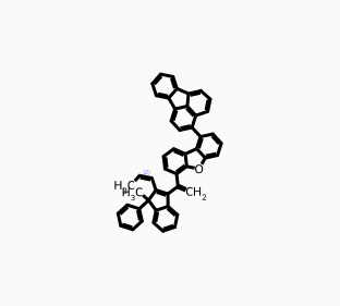 C=C(C1=C(/C=C\C)C(C)(c2ccccc2)c2ccccc21)c1cccc2c1oc1cccc(-c3ccc4c5c(cccc35)-c3ccccc3-4)c12